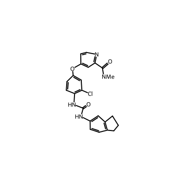 CNC(=O)c1cc(Oc2ccc(NC(=O)Nc3ccc4c(c3)CCC4)c(Cl)c2)ccn1